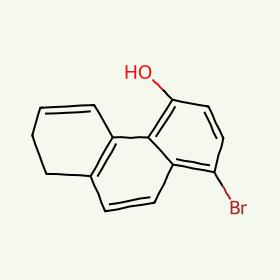 Oc1ccc(Br)c2ccc3c(c12)C=CCC3